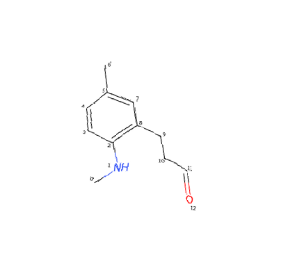 CNc1ccc(C)cc1CCC=O